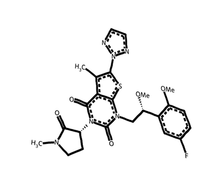 COc1ccc(F)cc1[C@H](Cn1c(=O)n([C@@H]2CCN(C)C2=O)c(=O)c2c(C)c(-n3nccn3)sc21)OC